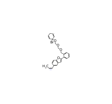 C/C=C\c1ccc2oc(-c3ccccc3COCOCOC3(Br)C=[C]CC=C3)cc2c1